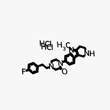 Cl.Cl.Cn1c2c(c3ccc(N4CCN(CCc5ccc(F)cc5)CC4=O)cc31)CNCC2